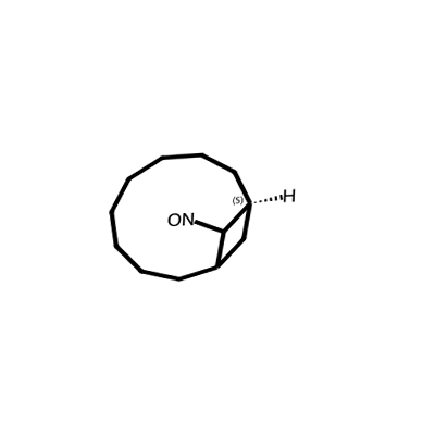 O=NC1C2CCCCCCCC[C@H]1C2